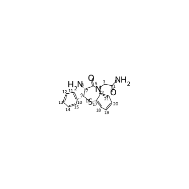 NC(=O)CN1C(=O)[C@@H](N)[C@@H](c2ccccc2)Sc2ccccc21